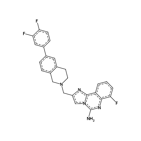 Nc1nc2c(F)cccc2c2nc(CN3CCc4cc(-c5ccc(F)c(F)c5)ccc4C3)cn12